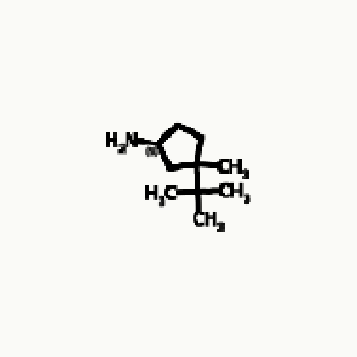 CC(C)(C)C1(C)CC[C@H](N)C1